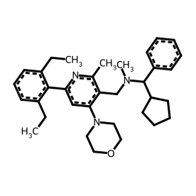 CCc1cccc(CC)c1-c1cc(N2CCOCC2)c(CN(C)C(c2ccccc2)C2CCCC2)c(C)n1